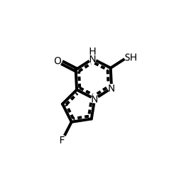 O=c1[nH]c(S)nn2cc(F)cc12